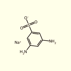 Nc1cc(N)cc(S(=O)(=O)[O-])c1.[Na+]